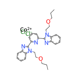 CCCOCCn1c(-c2cccc(-c3nc4ccccc4n3CCOCCC)n2)nc2ccccc21.[Cl-].[Cl-].[Co+2]